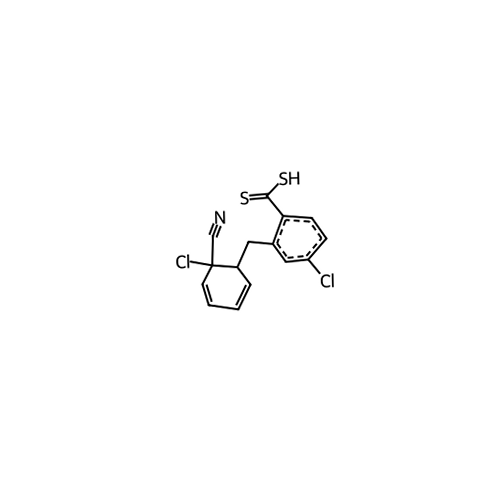 N#CC1(Cl)C=CC=CC1Cc1cc(Cl)ccc1C(=S)S